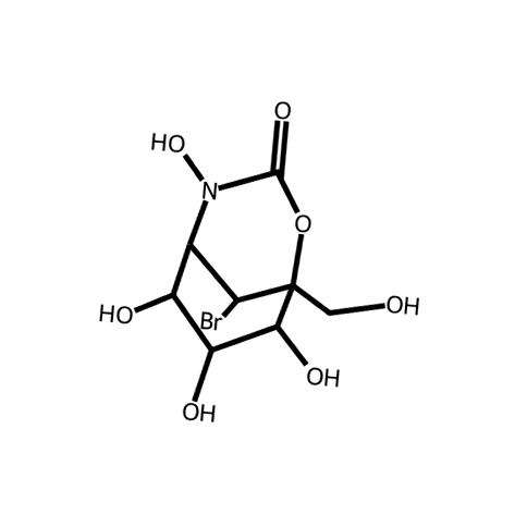 O=C1OC2(CO)C(O)C(O)C(O)C(C2Br)N1O